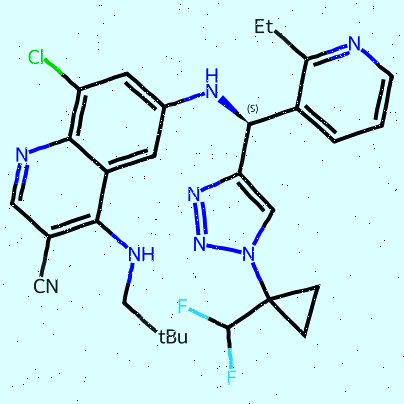 CCc1ncccc1[C@H](Nc1cc(Cl)c2ncc(C#N)c(NCC(C)(C)C)c2c1)c1cn(C2(C(F)F)CC2)nn1